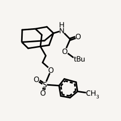 Cc1ccc(S(=O)(=O)OCCC23CC4CC(C2)CC(NC(=O)OC(C)(C)C)(C4)C3)cc1